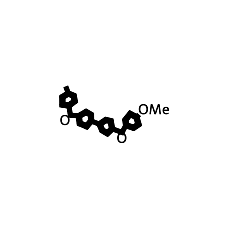 COc1ccc(C(=O)c2ccc(-c3ccc(C(=O)c4ccc(C)cc4)cc3)cc2)cc1